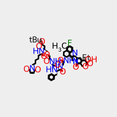 CC[C@@]1(O)C(=O)OCc2c1cc1n(c2=O)Cc2c-1nc1cc(F)c(C)c3c1c2[C@@H](NC(=O)CNC(=O)[C@H](Cc1ccccc1)NC(=O)CNC(=O)COC[C@H](CC(=O)OC(C)(C)C)NC(=O)CCCCCN1C(=O)C=CC1=O)CC3